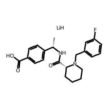 C[C@H](NC(=O)[C@H]1CCCCN1Cc1cccc(F)c1)c1ccc(C(=O)O)cc1.[LiH]